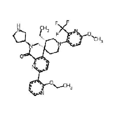 CCOc1ncccc1-c1ccc2c(n1)C(=O)N([C@H]1CCNC1)C[C@]21CCN(c2ccc(OC)nc2C(F)(F)F)C[C@H]1CC